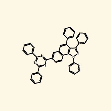 c1ccc(-c2nc(-c3ccccc3)nc(-c3ccc4c(c3)cc(-c3ccccc3)c3c(-c5ccccc5)nn(-c5ccccc5)c34)n2)cc1